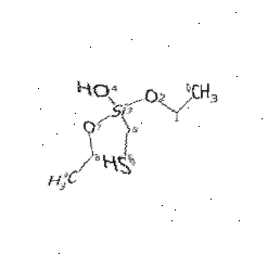 CCO[Si](O)(CS)OCC